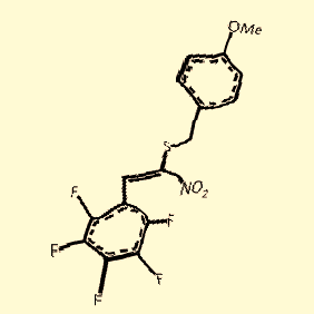 COc1ccc(CS/C(=C/c2c(F)c(F)c(F)c(F)c2F)[N+](=O)[O-])cc1